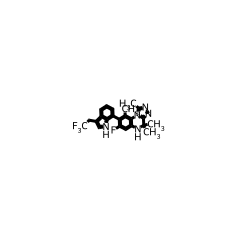 Cc1c(-c2cccc3c(CC(F)(F)F)c[nH]c23)c(F)cc2c1-n1c(C)nnc1C(C)(C)N2